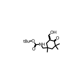 CC1(CNC(=O)OC(C)(C)C)C/C(=C/O)C(=O)C(C)(C)C1